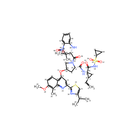 C=C[C@@H]1C[C@]1(NC(=O)[C@@H]1C[C@@H](Oc2cc(-c3nc(C(C)C)cs3)nc3c(C)c(OC)ccc23)CN1C(=O)[C@@H](Nc1ccccc1[N+](=O)[O-])C(C)(C)C)C(=O)NS(=O)(=O)C1CC1